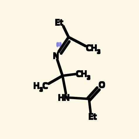 CCC(=O)NC(C)(C)/N=C(\C)CC